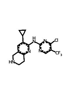 FC(F)(F)c1cnc(Nc2nc3c(cc2C2CC2)CNCC3)nc1Cl